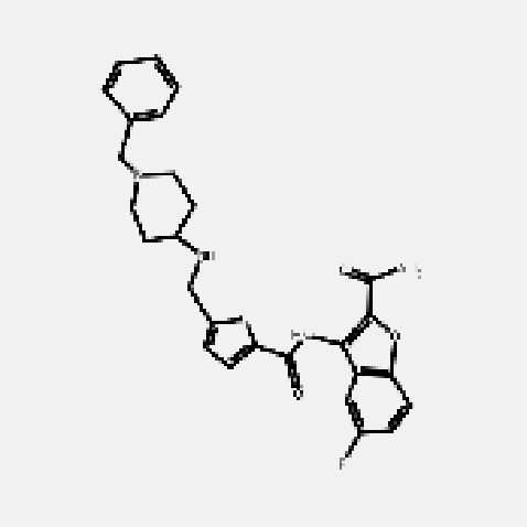 NC(=O)c1oc2ccc(F)cc2c1NC(=O)c1ccc(CNC2CCN(Cc3ccccc3)CC2)o1